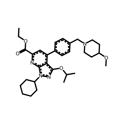 CCOC(=O)c1cc(-c2ccc(CN3CCC(OC)CC3)cc2)c2c(OC(C)C)nn(C3CCCCC3)c2n1